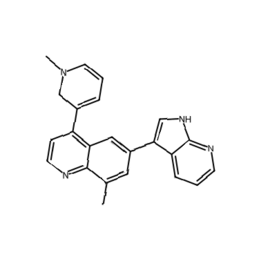 Cc1cc(-c2c[nH]c3ncccc23)cc2c(C3=CC=CN(C)C3)ccnc12